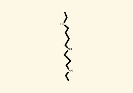 CCNCCCCNCCCNCC